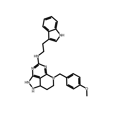 COc1ccc(CN2CCC3NNc4nc(NCCc5c[nH]c6ccccc56)nc2c43)cc1